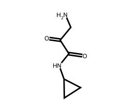 NCC(=O)C(=O)NC1CC1